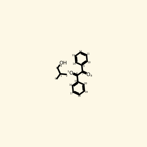 CC(C)CO.O=C(C(=O)c1ccccc1)c1ccccc1